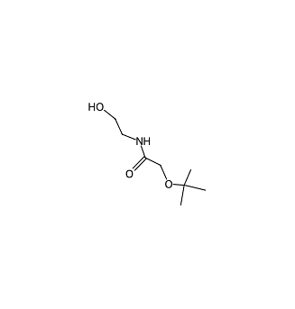 CC(C)(C)OCC(=O)NCCO